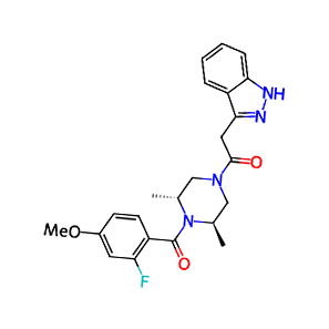 COc1ccc(C(=O)N2[C@H](C)CN(C(=O)Cc3n[nH]c4ccccc34)C[C@H]2C)c(F)c1